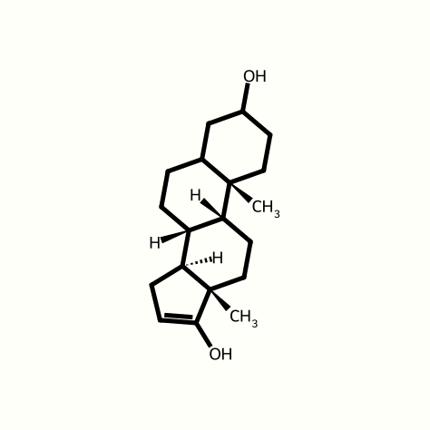 C[C@]12CCC(O)CC1CC[C@@H]1[C@H]2CC[C@]2(C)C(O)=CC[C@@H]12